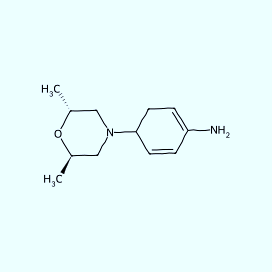 C[C@@H]1CN(C2C=CC(N)=CC2)C[C@@H](C)O1